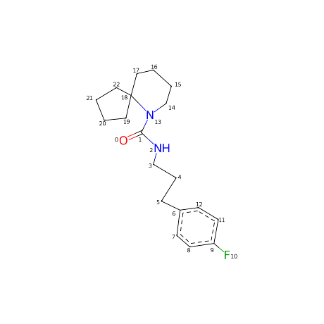 O=C(NCCCc1ccc(F)cc1)N1CCCCC12CCCC2